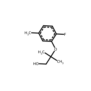 Cc1ccc(F)c(OC(C)(C)CO)c1